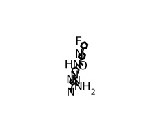 N#Cc1cnc(N2CCC(NC(=O)c3ccc(-c4cccc(F)c4)nc3)CC2)nc1N